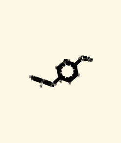 COc1ccc(N=[N+]=[N-])cn1